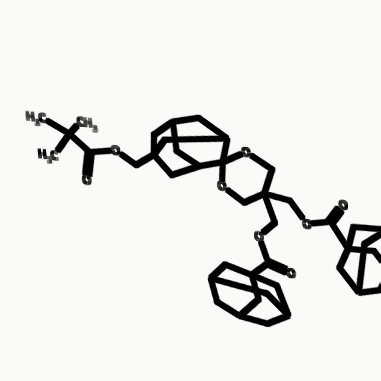 CC(C)(C)C(=O)OCC12CC3CC(C1)C1(OCC(COC(=O)C45CC6CC(CC(C6)C4)C5)(COC(=O)C45CC6CC(CC(C6)C4)C5)CO1)C(C3)C2